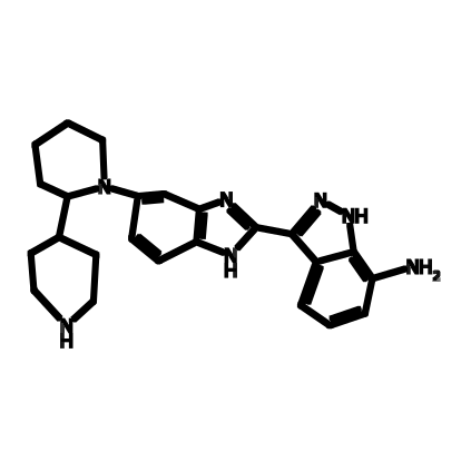 Nc1cccc2c(-c3nc4cc(N5CCCCC5C5CCNCC5)ccc4[nH]3)n[nH]c12